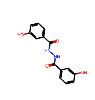 O=C(NNC(=O)c1cccc(O)c1)c1cccc(O)c1